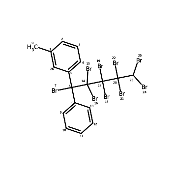 Cc1cccc(C(Br)(c2ccccc2)C(Br)(Br)C(Br)(Br)C(Br)(Br)C(Br)Br)c1